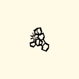 CN(C)c1ccc2c([c]1[Zr]([CH3])([CH3])(=[SiH2])([C]1=CC=CC1)([c]1ccccc1)[c]1ccccc1)Cc1ccccc1-2